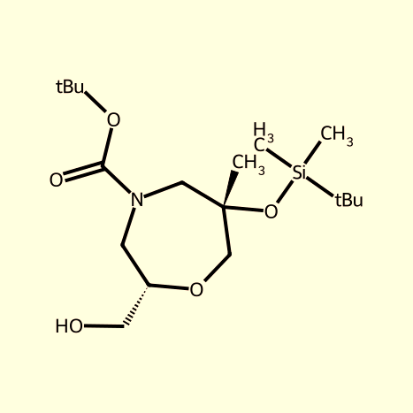 CC(C)(C)OC(=O)N1C[C@@H](CO)OC[C@@](C)(O[Si](C)(C)C(C)(C)C)C1